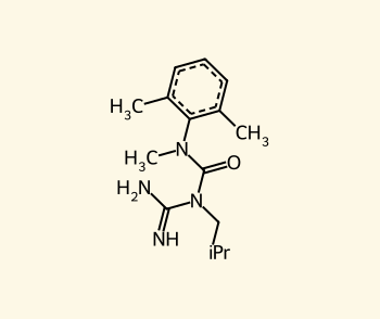 Cc1cccc(C)c1N(C)C(=O)N(CC(C)C)C(=N)N